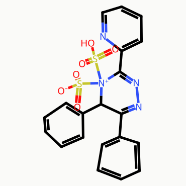 O=S(=O)([O-])[N+]1(S(=O)(=O)O)C(c2ccccn2)=NN=C(c2ccccc2)C1c1ccccc1